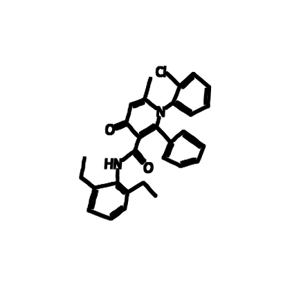 CCc1cccc(CC)c1NC(=O)c1c(-c2ccccc2)n(-c2ccccc2Cl)c(C)cc1=O